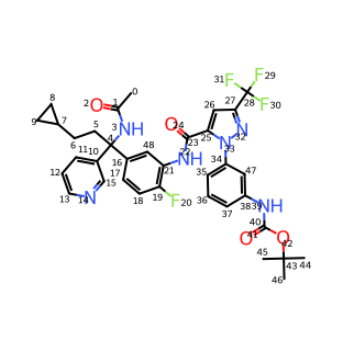 CC(=O)NC(CCC1CC1)(c1cccnc1)c1ccc(F)c(NC(=O)c2cc(C(F)(F)F)nn2-c2cccc(NC(=O)OC(C)(C)C)c2)c1